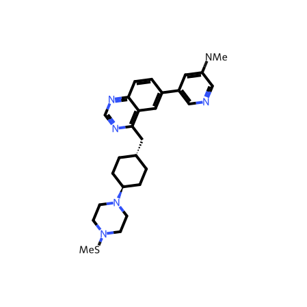 CNc1cncc(-c2ccc3ncnc(C[C@H]4CC[C@H](N5CCN(SC)CC5)CC4)c3c2)c1